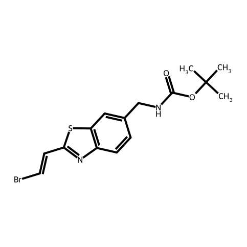 CC(C)(C)OC(=O)NCc1ccc2nc(/C=C/Br)sc2c1